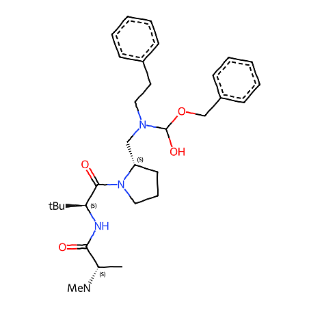 CN[C@@H](C)C(=O)N[C@H](C(=O)N1CCC[C@H]1CN(CCc1ccccc1)C(O)OCc1ccccc1)C(C)(C)C